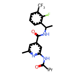 Cc1cc(C(=O)NC(C)c2cccc(C(F)(F)F)c2F)cc(NC(=O)C(C)C)n1